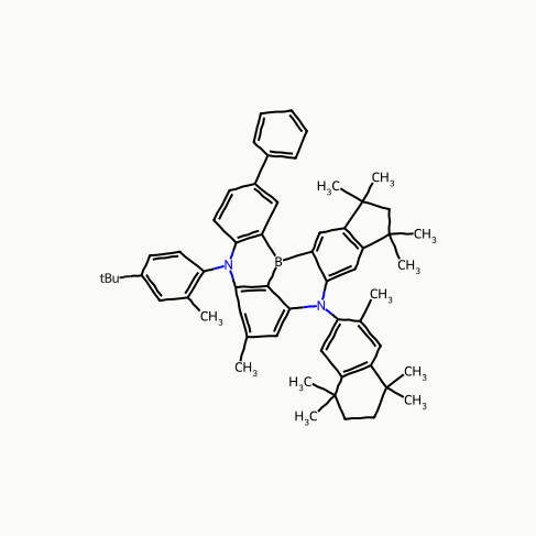 Cc1cc2c3c(c1)N(c1cc4c(cc1C)C(C)(C)CCC4(C)C)c1cc4c(cc1B3c1cc(-c3ccccc3)ccc1N2c1ccc(C(C)(C)C)cc1C)C(C)(C)CC4(C)C